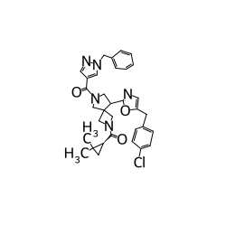 CC1(C)C[C@@H]1C(=O)N1CC2(CN(C(=O)c3cnn(Cc4ccccc4)c3)CC2c2ncc(Cc3ccc(Cl)cc3)o2)C1